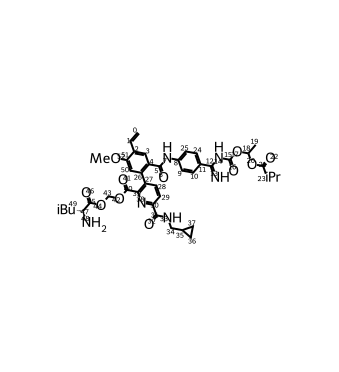 C=Cc1cc(C(=O)Nc2ccc(C(=N)NC(=O)OC(C)OC(=O)C(C)C)cc2)c(-c2ccc(C(=O)NCC3CC3)nc2C(=O)OCOC(=O)[C@@H](N)[C@@H](C)CC)cc1OC